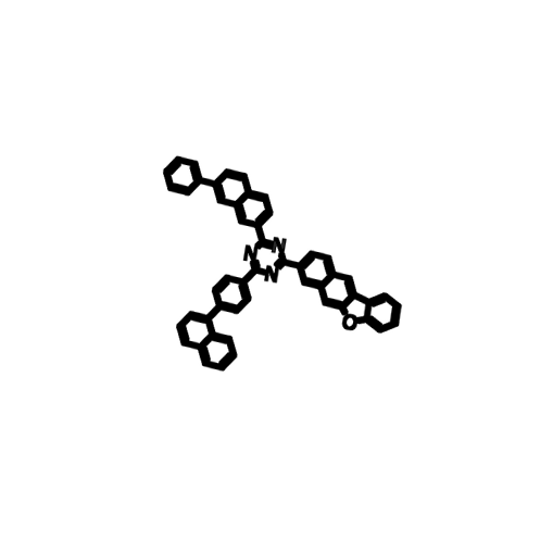 c1ccc(-c2ccc3ccc(-c4nc(-c5ccc(-c6cccc7ccccc67)cc5)nc(-c5ccc6cc7c(cc6c5)oc5ccccc57)n4)cc3c2)cc1